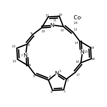 C1=CC2=NC1=CC1=NC(=CC3=NC(=CC4=NC(=C2)C=C4)C=C3)C=C1.[Co]